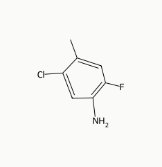 Cc1cc(F)c(N)cc1Cl